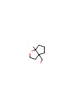 COC12CCCC1(CO)CCO2